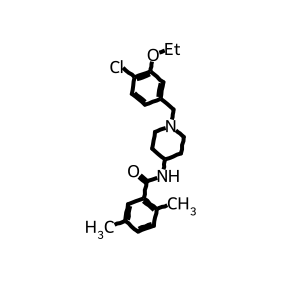 CCOc1cc(CN2CCC(NC(=O)c3cc(C)ccc3C)CC2)ccc1Cl